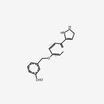 C=C(/C=C\C(=C/C)OCc1cccc(C=O)c1)C1=CCNN1